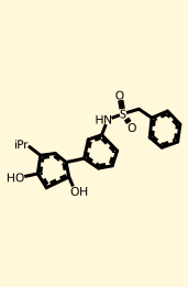 CC(C)c1cc(-c2cccc(NS(=O)(=O)Cc3ccccc3)c2)c(O)cc1O